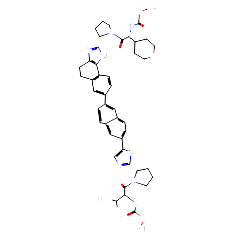 COC(=O)NC(C(=O)N1CCC[C@H]1c1ncc(-c2ccc3cc(-c4ccc5c(c4)CCc4nc([C@@H]6CCCN6C(=O)[C@@H](NC(=O)OC)C6CCOCC6)[nH]c4-5)ccc3c2)[nH]1)C(C)C